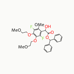 COCCOc1c(F)c(OC)c(C(O)C(=O)OC(c2ccccc2)c2ccccc2)c(F)c1OCCOC